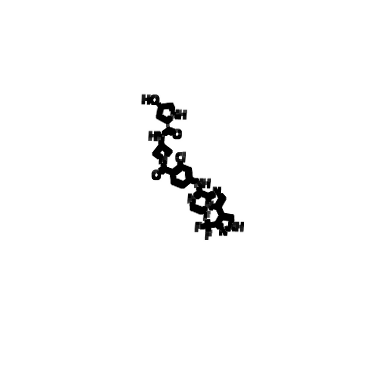 O=C(NC1CN(C(=O)c2ccc(Nc3nccn4c(-c5c[nH]nc5C(F)(F)F)cnc34)cc2Cl)C1)[C@@H]1C[C@@H](O)CN1